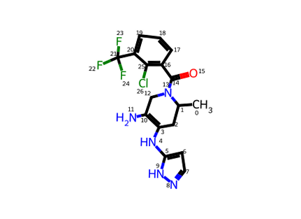 CC1CC(Nc2ccn[nH]2)=C(N)CN1C(=O)c1cccc(C(F)(F)F)c1Cl